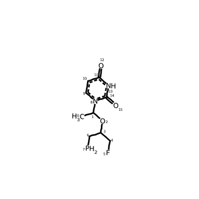 CC(OC(CF)CP)n1ccc(=O)[nH]c1=O